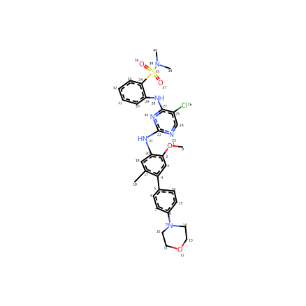 COc1cc(-c2ccc(N3CCOCC3)cc2)c(C)cc1Nc1ncc(Cl)c(Nc2ccccc2S(=O)(=O)N(C)C)n1